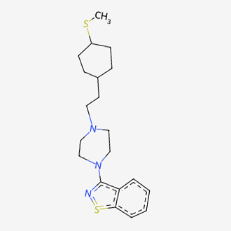 CSC1CCC(CCN2CCN(c3nsc4ccccc34)CC2)CC1